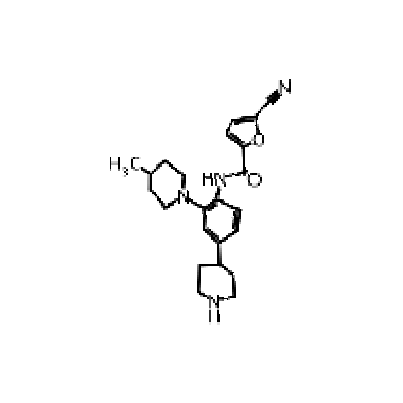 CC1CCN(c2cc(C3CCNCC3)ccc2NC(=O)c2ccc(C#N)o2)CC1